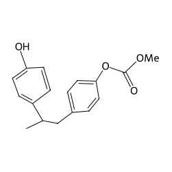 COC(=O)Oc1ccc(CC(C)c2ccc(O)cc2)cc1